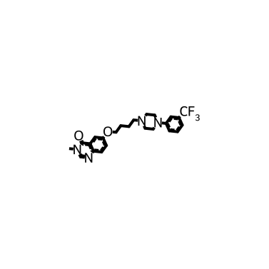 Cn1cnc2ccc(OCCCCN3CCN(c4cccc(C(F)(F)F)c4)CC3)cc2c1=O